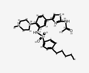 CCCCCc1ccc(S(=O)(=O)Nc2cc(-c3csc(NC(=O)I)n3)ccc2N2CCN(C)CC2)cc1